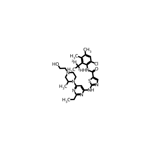 [2H]C([2H])(C)c1c(C)c(C)cc(Cl)c1NC(=O)c1cnc(Nc2cc(N3CCN(CCO)CC3C)nc(CC)n2)s1